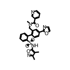 Cc1noc(NS(=O)(=O)c2ccccc2-c2ccc(-c3ncco3)cc2CN(C)C(=O)c2cccnc2)c1C